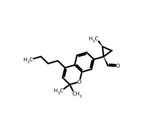 CCCCC1=CC(C)(C)Oc2cc([C@@]3(C=O)C[C@@H]3C)ccc21